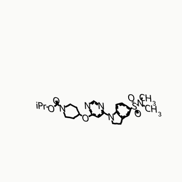 CC(C)OC(=O)N1CCC(Oc2cc(N3CCc4cc(S(=O)(=O)N(C)C)ccc43)ncn2)CC1